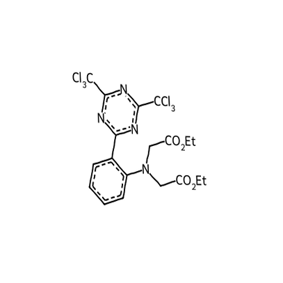 CCOC(=O)CN(CC(=O)OCC)c1ccccc1-c1nc(C(Cl)(Cl)Cl)nc(C(Cl)(Cl)Cl)n1